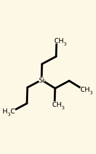 CCC[Si](CCC)C(C)CC